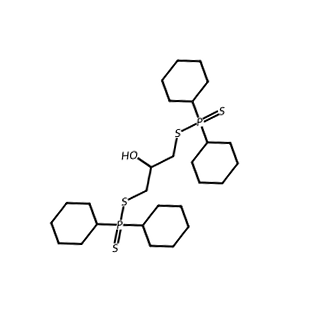 OC(CSP(=S)(C1CCCCC1)C1CCCCC1)CSP(=S)(C1CCCCC1)C1CCCCC1